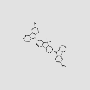 Bc1ccc2c(c1)c1ccccc1n2-c1ccc2c(c1)C(C)(C)c1cc(N3c4ccc(Br)cc4C4C=CC=CC43)ccc1-2